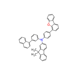 CC1(C)c2ccccc2-c2ccc(N(c3ccc(-c4cccc5c4oc4ccccc45)cc3)c3cccc(-c4cccc5ccccc45)c3)cc21